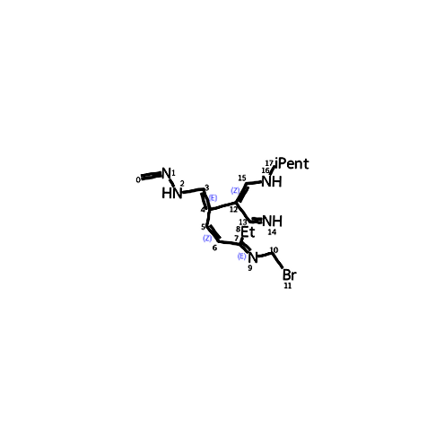 C=NN/C=C(\C=C/C(CC)=N/CBr)C(/C=N)=C/NC(C)CCC